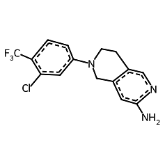 Nc1cc2c(cn1)CCN(c1ccc(C(F)(F)F)c(Cl)c1)C2